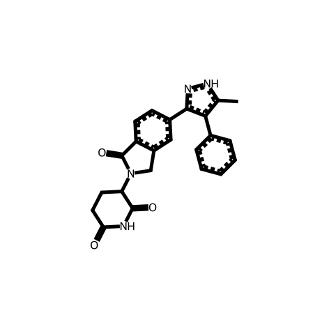 Cc1[nH]nc(-c2ccc3c(c2)CN(C2CCC(=O)NC2=O)C3=O)c1-c1ccccc1